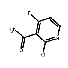 NC(=O)c1c(F)ccnc1Cl